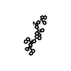 CCn1c2ccc(N(c3ccccc3)c3cccc4ccccc34)cc2c2cc(N(c3ccccc3)c3ccc4cc(-c5ccc6c7cc8c(cc7n(-c7cccc9ccccc79)c6c5)c5ccccc5n8-c5cccc6ccccc56)c5cccc6ccc3c4c65)ccc21